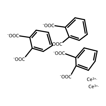 O=C([O-])c1ccccc1C(=O)[O-].O=C([O-])c1ccccc1C(=O)[O-].O=C([O-])c1ccccc1C(=O)[O-].[Ce+3].[Ce+3]